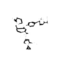 C[C@H]1CC(=O)N(Cc2ccc(C(=O)N[C@H]3CC(=O)N(C4CC4)C3)cc2Oc2ccc(-c3ccc(C(F)F)nn3)cc2)C1